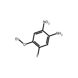 CCOc1cc([N+](=O)[O-])c(N)cc1F